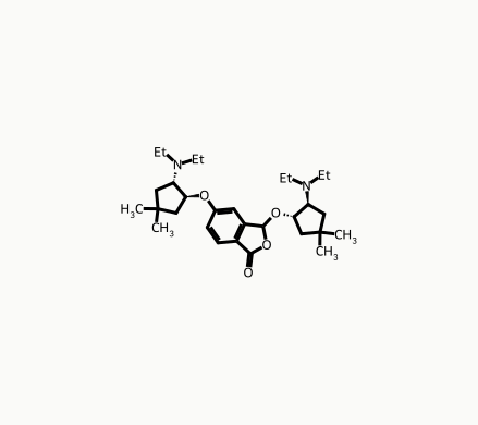 CCN(CC)[C@H]1CC(C)(C)C[C@@H]1Oc1ccc2c(c1)C(O[C@H]1CC(C)(C)C[C@@H]1N(CC)CC)OC2=O